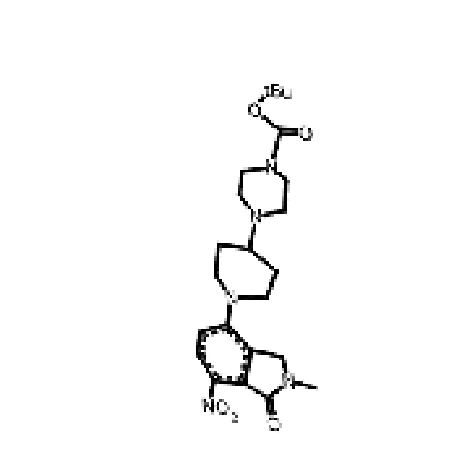 CN1Cc2c(N3CCC(N4CCN(C(=O)OC(C)(C)C)CC4)CC3)ccc([N+](=O)[O-])c2C1=O